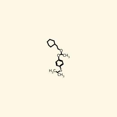 CC(OCCC1CCCCC1)Oc1ccc(SC(C)C)cc1